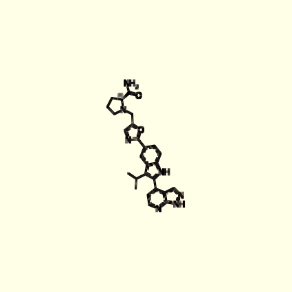 CC(C)c1c(-c2ccnc3[nH]ncc23)[nH]c2ccc(-c3ncc(CN4CCC[C@H]4C(N)=O)o3)cc12